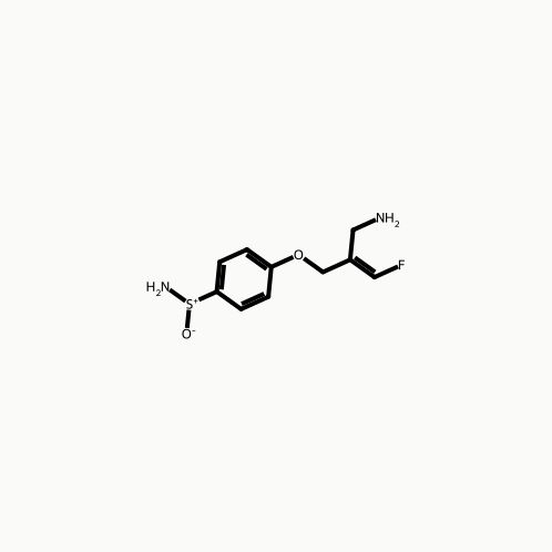 NC/C(=C\F)COc1ccc([S+](N)[O-])cc1